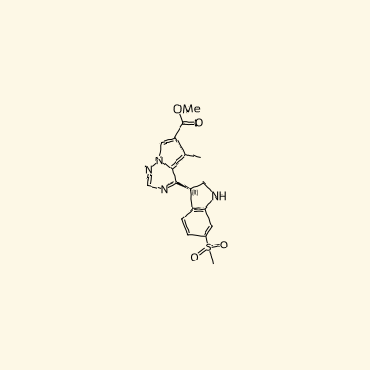 COC(=O)c1cn2ncnc([C@H]3CNc4cc(S(C)(=O)=O)ccc43)c2c1C